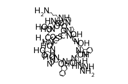 CC(=O)N[C@H]1CSSCC(C(=O)N2CCC[C@H]2C(=O)N2CCCC2C(=O)N[C@H](CCCCN)C(=O)N[C@H](CC(=O)O)C(N)=O)N=C(O)CN=C(O)[C@@H](Cc2c[nH]c3ccccc23)N=C(O)C(CCCNC(=N)N)N=C(O)[C@H](Cc2ccc3ccccc3c2)N=C(O)[C@@H](Cc2cnc[nH]2)N=C(O)[C@@H](CCC(=O)O)N=C1O